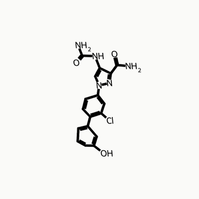 NC(=O)Nc1cn(-c2ccc(-c3cccc(O)c3)c(Cl)c2)nc1C(N)=O